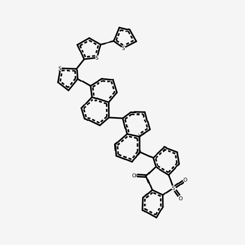 O=C1c2ccccc2S(=O)(=O)c2cccc(-c3cccc4c(-c5cccc6c(-c7ccsc7-c7ccc(-c8cccs8)s7)cccc56)cccc34)c21